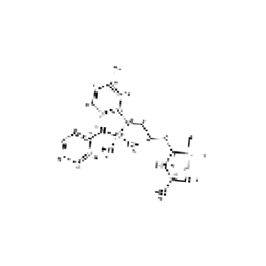 CC(C)(C)C(CCCN1c2cc(F)ccc2N(c2ccccc2)S1(O)O)NC(=O)O